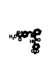 CN(C)C(=O)c1ccc(Cn2nc(C(=O)Nc3ccc4c(c3)OCO4)c3ccccc32)cc1